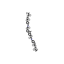 C=C(F)C(=O)OCOC(=O)Oc1ccc(/C=C/C(=O)Oc2ccc3c(c2)C(C)c2cc(OC(=O)/C=C/c4ccc(OC(=O)OCOC(=O)C(=C)F)cc4)ccc2-3)cc1